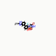 CC(C)CNc1cccc(-c2ccc(O)c(N3CC(=O)NS3(=O)=O)c2F)c1